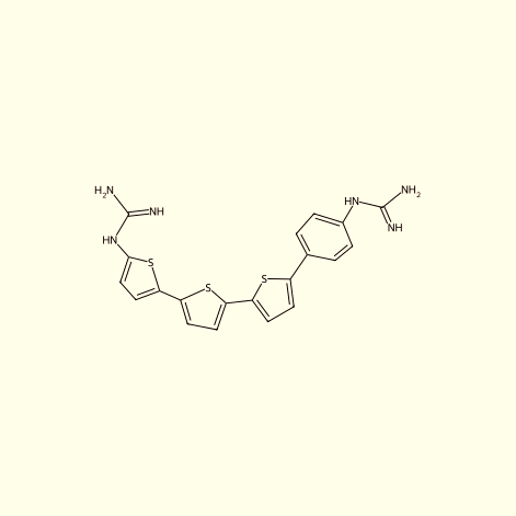 N=C(N)Nc1ccc(-c2ccc(-c3ccc(-c4ccc(NC(=N)N)s4)s3)s2)cc1